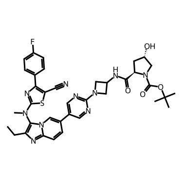 CCc1nc2ccc(-c3cnc(N4CC(NC(=O)[C@H]5C[C@H](O)CN5C(=O)OC(C)(C)C)C4)nc3)cn2c1N(C)c1nc(-c2ccc(F)cc2)c(C#N)s1